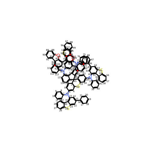 C1=CC2C(C=C1N(c1ccccc1)c1cc(-c3ccccc3)cc3sc4ccccc4c13)Sc1cc(N(c3ccccc3)c3cc(-c4ccccc4)cc4sc5ccccc5c34)ccc1C21c2ccc(N(c3ccccc3)c3cc(-c4cccc5c4oc4ccccc45)c4sc5ccccc5c4c3)cc2-c2c(N(c3ccccc3)c3cc(-c4ccccc4)c4oc5ccccc5c4c3)cccc21